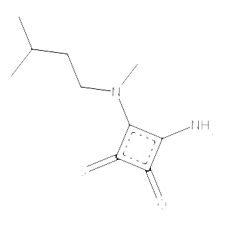 CC(C)CCN(C)c1c(N)c(=O)c1=S